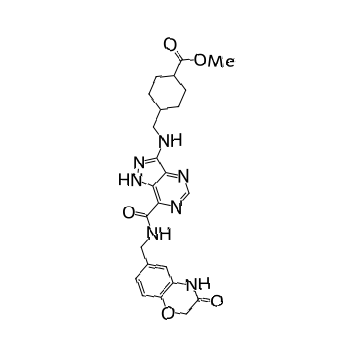 COC(=O)C1CCC(CNc2n[nH]c3c(C(=O)NCc4ccc5c(c4)NC(=O)CO5)ncnc23)CC1